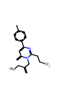 C=C(CN1C(=C)C=C(c2ccc(C)cc2)N=C1CCC(F)(F)F)CC(C)(C)C